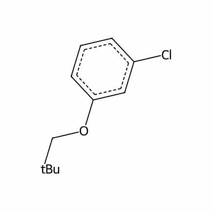 CC(C)(C)COc1cccc(Cl)c1